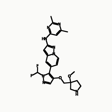 COC1(COc2cnn(C(F)F)c2-c2ccn3nc(Nc4cc(C)nc(C)n4)cc3c2)CCNC1